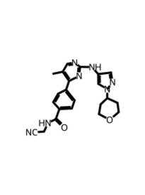 Cc1cnc(Nc2cnn(C3CCOCC3)c2)nc1-c1ccc(C(=O)NCC#N)cc1